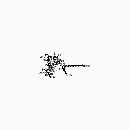 CCCCCCCCCCCCC/C=C/[C@@H](O)[C@H](CO[C@@H]1OC(CO)[C@@H](O[C@@H]2OC(CO)[C@H](O)[C@H](O[C@]3(C(=O)O)CC(O)[C@@H](NC(C)=O)C([C@H](O)[C@@H](CO)O[C@]4(C(=O)O)CC(O)[C@@H](NC(C)=O)C([C@H](O)[C@@H](CO)O[C@]5(C(=O)O)CC(O)[C@@H](NC(C)=O)C([C@H](O)[C@H](O)COC(C)=O)O5)O4)O3)C2O)[C@H](O)C1O)NC(=O)CCCCCCCCCCCCCCCCCCCCCCC